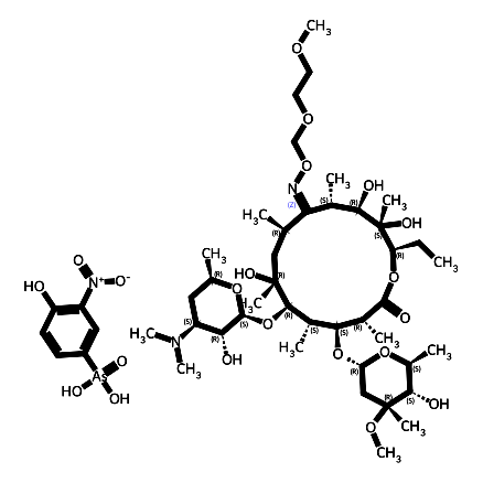 CC[C@H]1OC(=O)[C@H](C)[C@@H](O[C@H]2C[C@@](C)(OC)[C@@H](O)[C@H](C)O2)[C@H](C)[C@@H](O[C@@H]2O[C@H](C)C[C@H](N(C)C)[C@H]2O)[C@](C)(O)C[C@@H](C)/C(=N/OCOCCOC)[C@H](C)[C@@H](O)[C@]1(C)O.O=[N+]([O-])c1cc([As](=O)(O)O)ccc1O